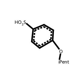 CCCC(C)Oc1ccc(S(=O)(=O)O)cc1